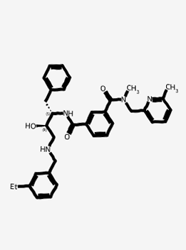 CCc1cccc(CNC[C@@H](O)[C@H](Cc2ccccc2)NC(=O)c2cccc(C(=O)N(C)Cc3cccc(C)n3)c2)c1